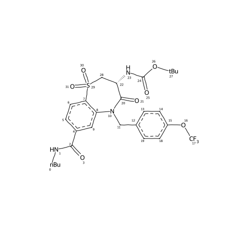 CCCCNC(=O)c1ccc2c(c1)N(Cc1ccc(OC(F)(F)F)cc1)C(=O)[C@@H](NC(=O)OC(C)(C)C)CS2(=O)=O